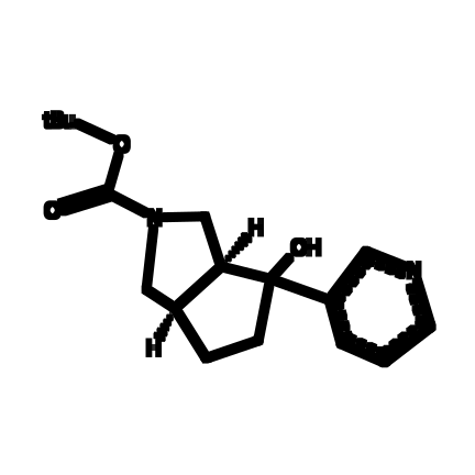 CC(C)(C)OC(=O)N1C[C@@H]2CCC(O)(c3cccnc3)[C@@H]2C1